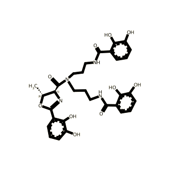 C[C@H]1OC(c2cccc(O)c2O)=N[C@@H]1C(=O)N(CCCNC(=O)c1cccc(O)c1O)CCCNC(=O)c1cccc(O)c1O